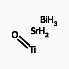 [BiH3].[O]=[Ti].[SrH2]